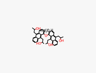 CC(O)Cc1c2ccccc2c(CC(C)O)c2c(Oc3c(C(=O)O)ccc4c(CC(C)O)c5ccccc5c(CC(C)O)c34)c(C(=O)O)ccc12